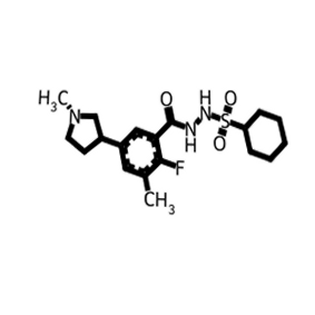 Cc1cc(C2CCN(C)C2)cc(C(=O)NNS(=O)(=O)C2CCCCC2)c1F